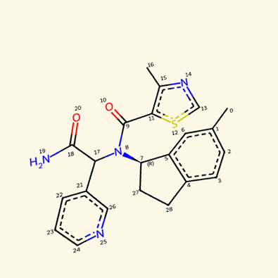 Cc1ccc2c(c1)[C@H](N(C(=O)c1scnc1C)C(C(N)=O)c1cccnc1)CC2